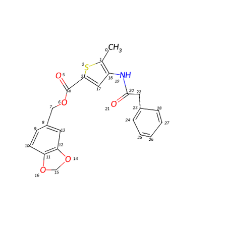 Cc1sc(C(=O)OCc2ccc3c(c2)OCO3)cc1NC(=O)Cc1ccccc1